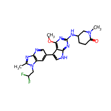 COc1nc(NC2CCC(=O)N(C)C2)nc2[nH]cc(-c3cnc4nc(C)n(CC(F)F)c4c3)c12